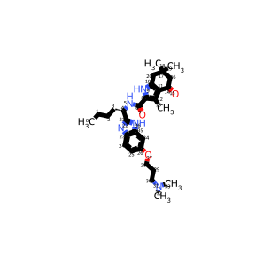 CCCC[C@H](NC(=O)c1[nH]c2c(c1C)C(=O)CC(C)(C)C2)c1nc2ccc(OCCCN(C)C)cc2[nH]1